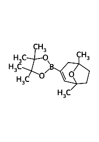 CC12C=C(B3OC(C)(C)C(C)(C)O3)CC(C)(CC1)O2